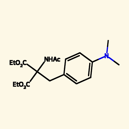 CCOC(=O)C(Cc1ccc(N(C)C)cc1)(NC(C)=O)C(=O)OCC